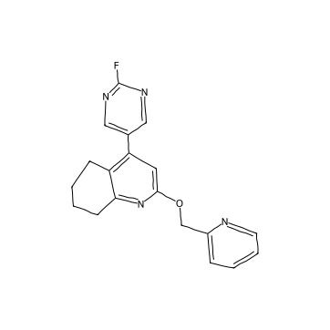 Fc1ncc(-c2cc(OCc3ccccn3)nc3c2CCCC3)cn1